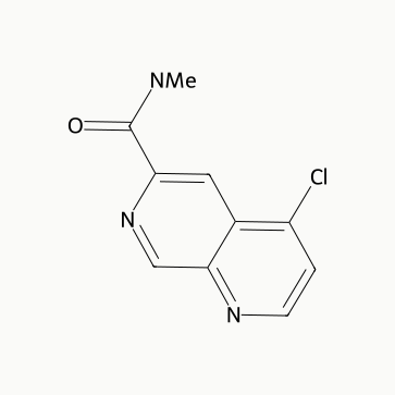 CNC(=O)c1cc2c(Cl)ccnc2cn1